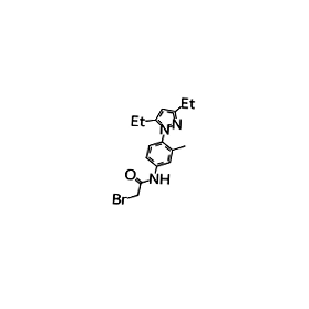 CCc1cc(CC)n(-c2ccc(NC(=O)CBr)cc2C)n1